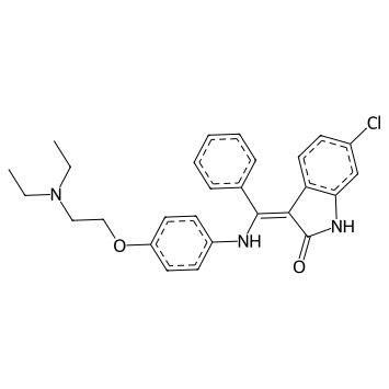 CCN(CC)CCOc1ccc(N/C(=C2\C(=O)Nc3cc(Cl)ccc32)c2ccccc2)cc1